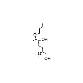 CCCCOC(C)C(O)CCC(CO)OC